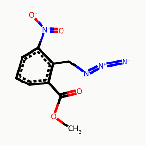 COC(=O)c1cccc([N+](=O)[O-])c1CN=[N+]=[N-]